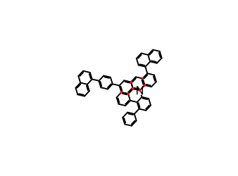 c1ccc(-c2ccccc2-c2c(-c3ccccc3)cccc2N(c2ccc(-c3ccc(-c4cccc5ccccc45)cc3)cc2)c2cccc(-c3cccc4ccccc34)c2)cc1